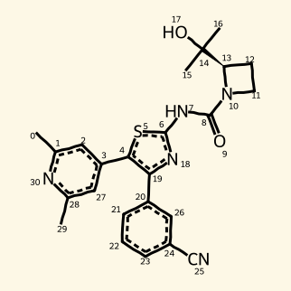 Cc1cc(-c2sc(NC(=O)N3CC[C@@H]3C(C)(C)O)nc2-c2cccc(C#N)c2)cc(C)n1